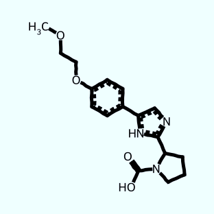 COCCOc1ccc(-c2cnc(C3CCCN3C(=O)O)[nH]2)cc1